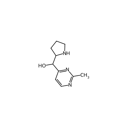 Cc1nccc(C(O)C2CCCN2)n1